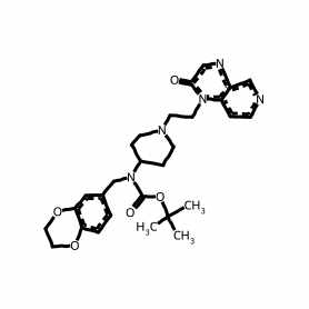 CC(C)(C)OC(=O)N(Cc1ccc2c(c1)OCCO2)C1CCN(CCn2c(=O)cnc3cnccc32)CC1